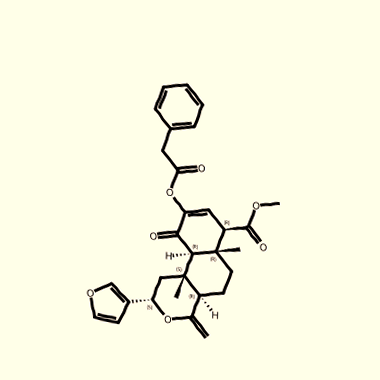 C=C1O[C@H](c2ccoc2)C[C@]2(C)[C@H]3C(=O)C(OC(=O)Cc4ccccc4)=C[C@@H](C(=O)OC)[C@]3(C)CC[C@@H]12